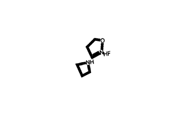 C1=NOCC1.C1CNC1.F